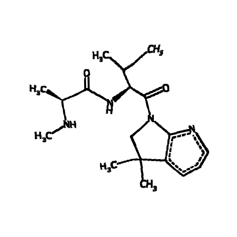 CN[C@@H](C)C(=O)N[C@H](C(=O)N1CC(C)(C)c2cccnc21)C(C)C